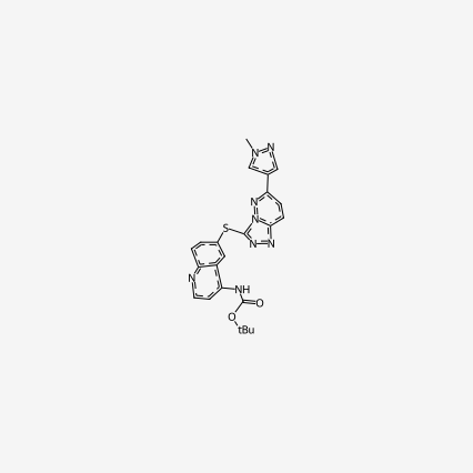 Cn1cc(-c2ccc3nnc(Sc4ccc5nccc(NC(=O)OC(C)(C)C)c5c4)n3n2)cn1